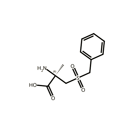 C[C@](N)(CS(=O)(=O)Cc1ccccc1)C(=O)O